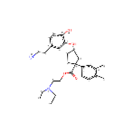 CCN(CC)CCOC(=O)C1(c2ccc(C)c(C)c2)CCCC1.NCCc1ccc(O)c(O)c1